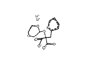 O=C([O-])C(Cc1ccccn1)(OC1COCCO1)C(=O)[O-].[Li+].[Li+]